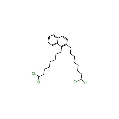 ClC(Cl)CCCCCCCc1ccc2ccccc2c1CCCCCCCC(Cl)Cl